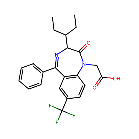 CCC(CC)C1N=C(c2ccccc2)c2cc(C(F)(F)F)ccc2N(CC(=O)O)C1=O